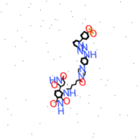 CS(=O)(=O)c1ccc(-c2cccc3nc(Nc4ccc(N5CCN(C(=O)CCCCCNc6c(C7CCC(=O)NC7=O)ccc7c6C(=O)NC7=O)CC5)cc4)nn23)cc1